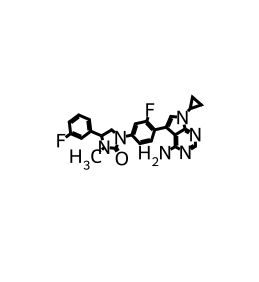 CN1C(=O)N(c2ccc(-c3cn(C4CC4)c4ncnc(N)c34)c(F)c2)CC1c1cccc(F)c1